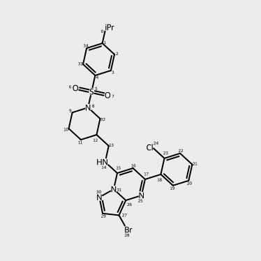 CC(C)c1ccc(S(=O)(=O)N2CCCC(CNc3cc(-c4ccccc4Cl)nc4c(Br)cnn34)C2)cc1